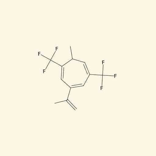 C=C(C)C1=CC(C(F)(F)F)=CC(C)C(C(F)(F)F)=C1